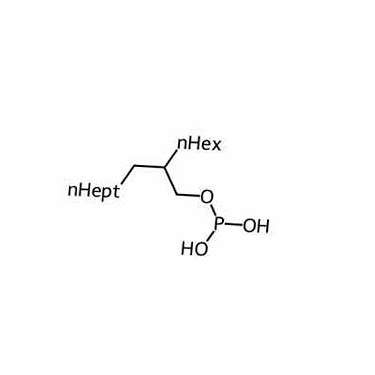 CCCCCCCCC(CCCCCC)COP(O)O